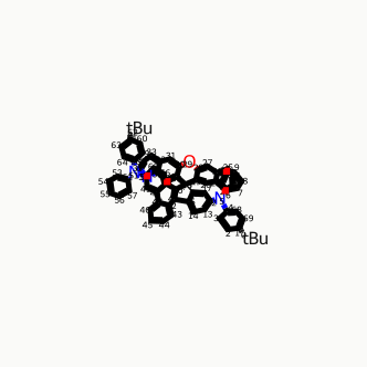 CC(C)(C)c1ccc(N(c2ccccc2)c2ccc3c(c2)[C@]2(c4cc5ccccc5cc4Oc4cc5cccnc5cc42)c2c-3c3ccccc3c3cc(N(c4ccccc4)c4ccc(C(C)(C)C)cc4)ccc23)cc1